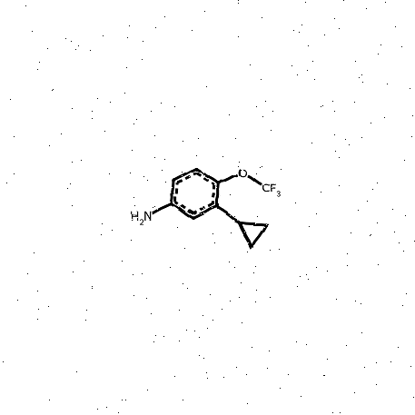 Nc1ccc(OC(F)(F)F)c(C2CC2)c1